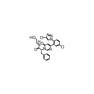 O=C(NCCO)[C@H](Cc1ccccc1)n1cnc(-c2cc(Cl)ccc2-n2cc(Cl)nn2)cc1=O